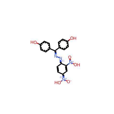 O=[N+](O)C1=CC(=[N+](\[O-])O)/C=CC/1=N\N=C(c1ccc(O)cc1)c1ccc(O)cc1